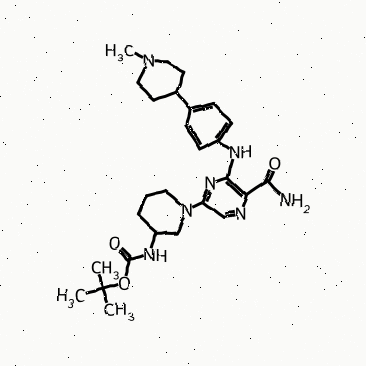 CN1CCC(c2ccc(Nc3nc(N4CCCC(NC(=O)OC(C)(C)C)C4)cnc3C(N)=O)cc2)CC1